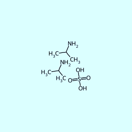 CC(C)N.CC(C)N.O=S(=O)(O)O